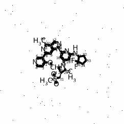 COc1ccncc1-c1cc2c(cnn2-c2cc(N3C[C@H](CS(C)(=O)=O)[C@H]3C)cc(NC3CCCC3(F)F)n2)c(C)n1